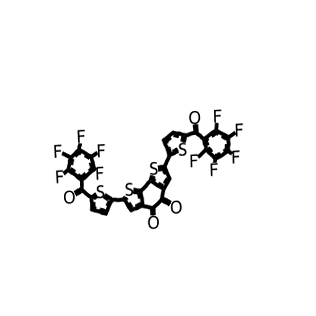 O=C1C(=O)c2cc(-c3ccc(C(=O)c4c(F)c(F)c(F)c(F)c4F)s3)sc2-c2sc(-c3ccc(C(=O)c4c(F)c(F)c(F)c(F)c4F)s3)cc21